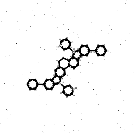 c1ccc(-c2ccc3c(c2)c2cc4c(cc2n3-c2cccnc2)-c2ccc3c5cc(-c6ccccc6)ccc5n(-c5cccnc5)c3c2CC4)cc1